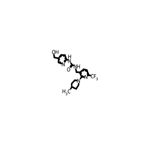 CC1CCN(c2nc(C(F)(F)F)ccc2CNC(=O)Nc2ccc(CO)cn2)CC1